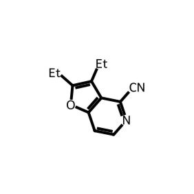 CCc1oc2ccnc(C#N)c2c1CC